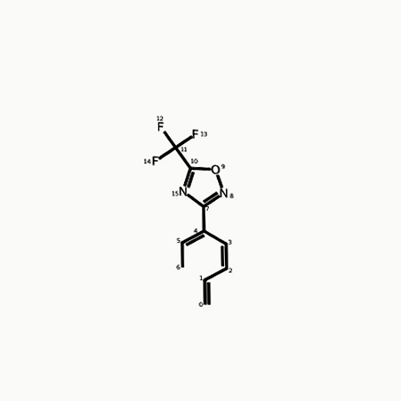 C=C/C=C\C(=C/C)c1noc(C(F)(F)F)n1